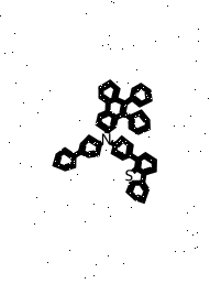 c1ccc(-c2ccc(N(c3ccc(-c4cccc5c4sc4ccccc45)cc3)c3ccc4c(c3)c(-c3ccccc3)c(-c3ccccc3)c3ccccc34)cc2)cc1